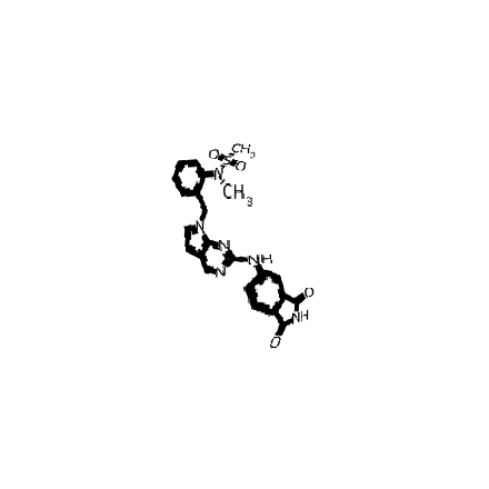 CN(c1ccccc1Cn1ccc2cnc(Nc3ccc4c(c3)C(=O)NC4=O)nc21)S(C)(=O)=O